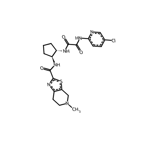 CN1CCc2nc(C(=O)N[C@H]3CCC[C@@H]3NC(=O)C(=O)Nc3ccc(Cl)cn3)sc2C1